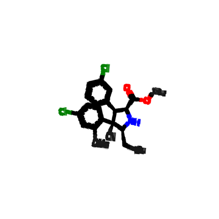 COc1cc(Cl)ccc1[C@@]1(C#N)[C@H](CC(C)(C)C)N[C@H](C(=O)OC(C)(C)C)[C@@H]1c1cccc(Cl)c1